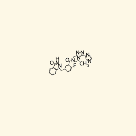 CC1CN(C(=O)c2cc(Cc3n[nH]c(=O)c4ccccc34)ccc2F)Cc2nnc(-c3cnccn3)n21